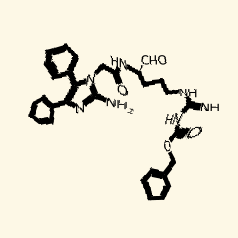 N=C(NCCC[C@@H](C=O)NC(=O)Cn1c(N)nc(-c2ccccc2)c1-c1ccccc1)NC(=O)OCc1ccccc1